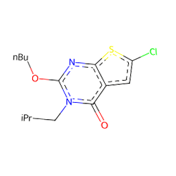 CCCCOc1nc2sc(Cl)cc2c(=O)n1CC(C)C